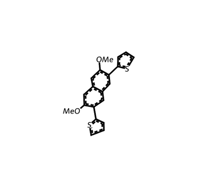 COc1cc2cc(OC)c(-c3cccs3)cc2cc1-c1cccs1